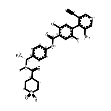 C#Cc1cncc(N)c1-c1cc(Cl)c(C(=O)Nc2ccc([C@H](N(C)C(=O)C3CCS(=O)(=O)CC3)C(F)(F)F)cc2)cc1F